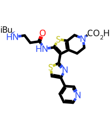 CC[C@H](C)NCCC(=O)Nc1sc2c(c1-c1nc(-c3cccnc3)cs1)CCN(C(=O)O)C2